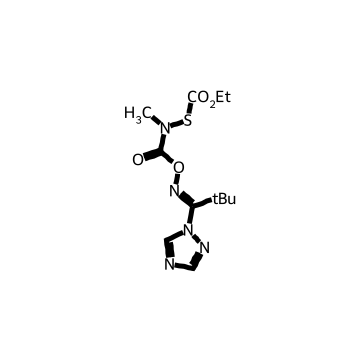 CCOC(=O)SN(C)C(=O)ON=C(n1cncn1)C(C)(C)C